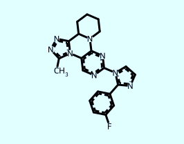 Cc1nnc2n1-c1cnc(-n3ccnc3-c3cccc(F)c3)nc1N1CCCCC21